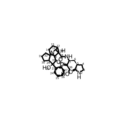 O=C1NCC[C@@H]1C[C@H](NC(=O)[C@@H]1C2CCC(CC2)N1C(=O)[C@](O)(c1ccccc1)C1CCCC1)C(=O)CO